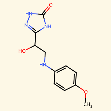 COc1ccc(NCC(O)c2n[nH]c(=O)[nH]2)cc1